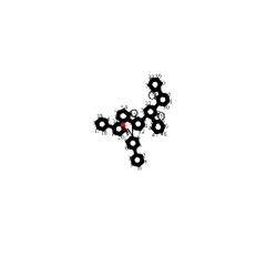 c1ccc(-c2ccc(N(c3ccc(-c4ccccc4)cc3)c3ccc(-c4ccc(-c5cccc6c5oc5ccccc56)c5oc6ccccc6c45)c4oc5ccccc5c34)cc2)cc1